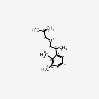 C=C(C)COCC(C)c1cccc(C)c1C